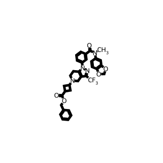 CN(C(=O)c1cccc(-n2nc(C(F)(F)F)c3c2CCN(C2CC(C(=O)OCc4ccccc4)C2)C3)c1)c1ccc2c(c1)OCO2